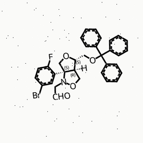 O=CCN1OC[C@@H]2[C@@H](COC(c3ccccc3)(c3ccccc3)c3ccccc3)OC[C@@]21c1cc(Br)ccc1F